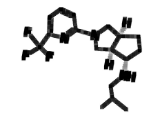 CC(C)CN[C@H]1CC[C@@H]2CN(c3cccc(C(F)(F)F)n3)C[C@@H]21